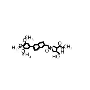 CNC(=O)C1CN(C(=O)Cc2ccc3cc(-c4cc(OC)c(OC)c(OC)c4)ccc3c2)CC1CO